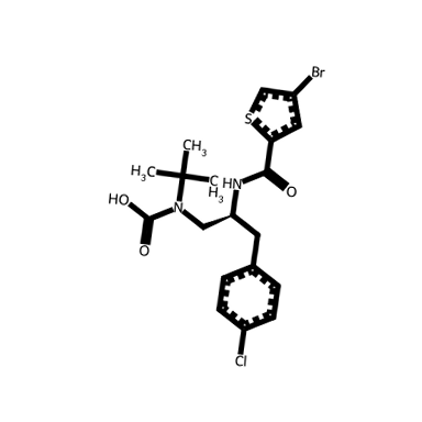 CC(C)(C)N(C[C@H](Cc1ccc(Cl)cc1)NC(=O)c1cc(Br)cs1)C(=O)O